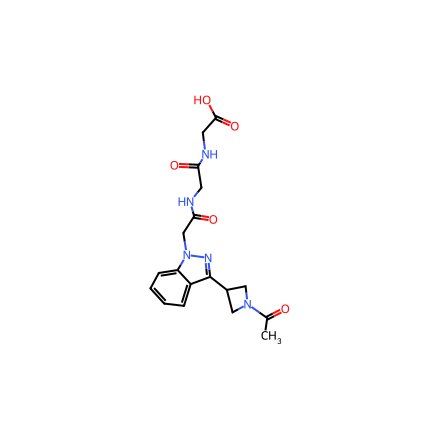 CC(=O)N1CC(c2nn(CC(=O)NCC(=O)NCC(=O)O)c3ccccc23)C1